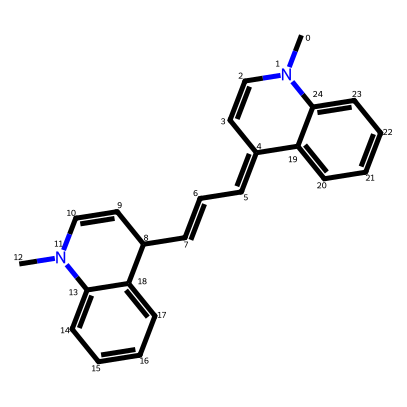 CN1C=CC(=CC=CC2C=CN(C)c3ccccc32)c2ccccc21